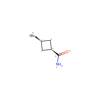 CC(C)(C)[C@H]1C[C@@H](C(N)=O)C1